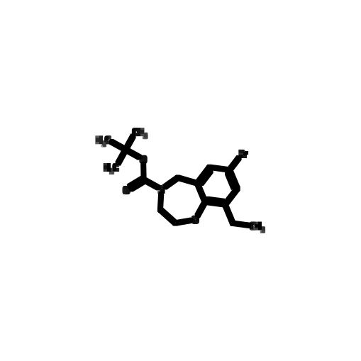 CCc1cc(Br)cc2c1OCCN(C(=O)OC(C)(C)C)C2